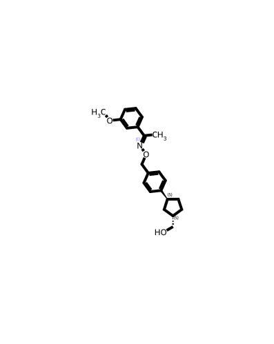 COc1cccc(/C(C)=N/OCc2ccc([C@H]3CC[C@H](CO)C3)cc2)c1